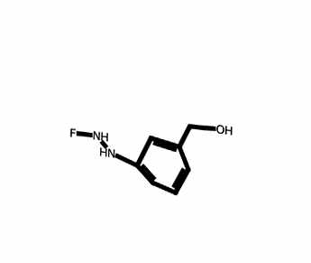 OCc1cccc(NNF)c1